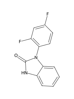 O=c1[nH]c2ccccc2n1-c1ccc(F)cc1F